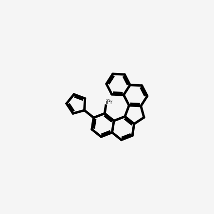 CC(C)c1c(C2C=CC=C2)ccc2ccc3c(c12)-c1c(ccc2ccccc12)C3